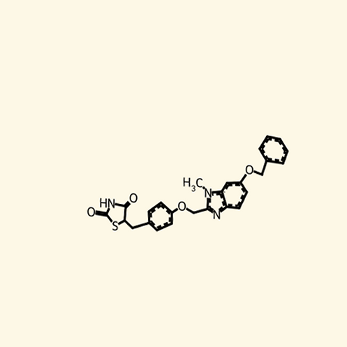 Cn1c(COc2ccc(CC3SC(=O)NC3=O)cc2)nc2ccc(OCc3ccccc3)cc21